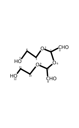 O=CC(OCCO)OC(C=O)OCCO